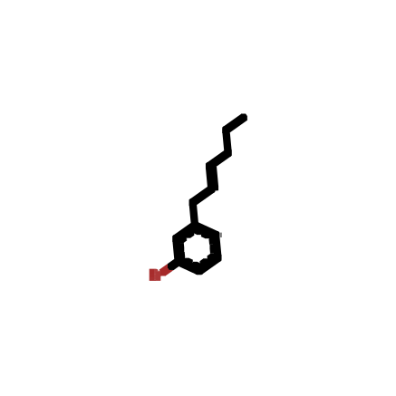 CCCC=CCc1[c]ccc(Br)c1